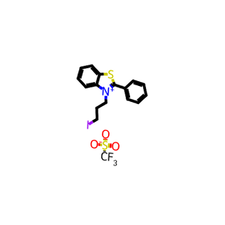 ICCC[n+]1c(-c2ccccc2)sc2ccccc21.O=S(=O)([O-])C(F)(F)F